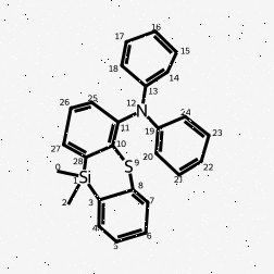 C[Si]1(C)c2ccccc2Sc2c(N(c3ccccc3)c3ccccc3)cccc21